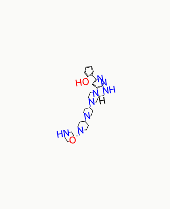 Oc1ccccc1-c1cc2c(nn1)NC[C@H]1CN(C3CCN(C4CCN(C[C@H]5CNCCO5)CC4)CC3)CCN21